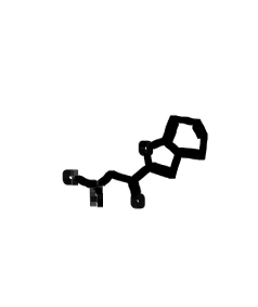 O=C(CNCl)c1cc2ccccc2o1